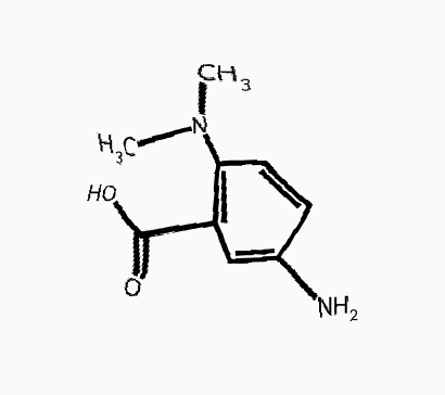 CN(C)c1ccc(N)cc1C(=O)O